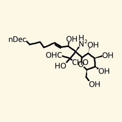 CCCCCCCCCCCCC/C=C/[C@@H](O)[C@](N)(C1O[C@H](CO)[C@H](O)[C@H](O)[C@H]1O)C(O)(C=O)C=O